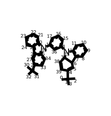 CC(C)(C)C1=CC2c3ccccc3N(c3cccc(-n4c5ccccc5c5cc(C(C)(C)C)ccc54)c3)C2C=C1